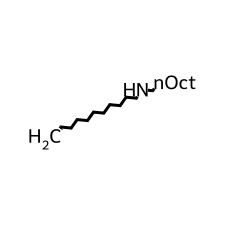 C=CCCCCCCCCCNCCCCCCCCC